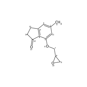 Cc1cc2c(c(OCC3CO3)c1)C(=O)CC2